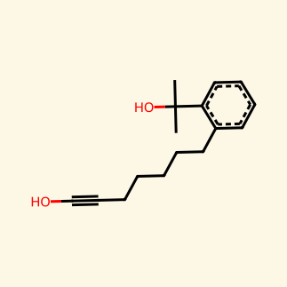 CC(C)(O)c1ccccc1CCCCCC#CO